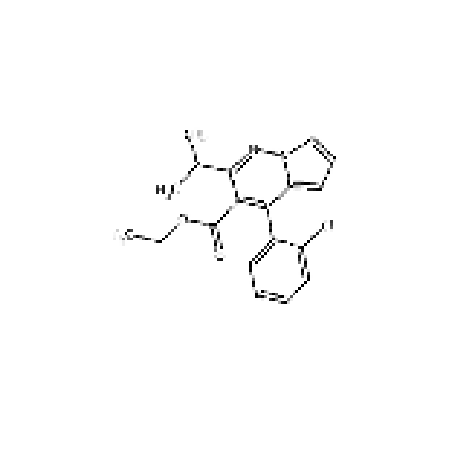 CCOC(=O)c1c(C(C)C)nn2cccc2c1-c1ccccc1Cl